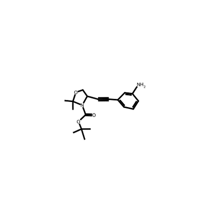 CC(C)(C)OC(=O)N1C(C#Cc2cccc(N)c2)COC1(C)C